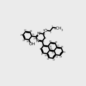 CCCOC1CC(c2ccc3ccc4cccc5ccc2c3c45)=NC(C2C=CC=CC2O)=N1